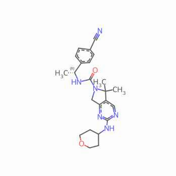 C[C@@H](NC(=O)N1Cc2nc(NC3CCOCC3)ncc2C1(C)C)c1ccc(C#N)cc1